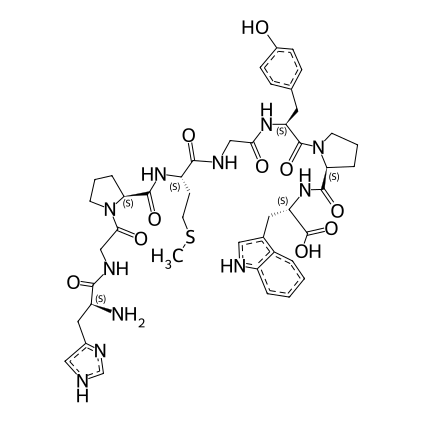 CSCC[C@H](NC(=O)[C@@H]1CCCN1C(=O)CNC(=O)[C@@H](N)Cc1c[nH]cn1)C(=O)NCC(=O)N[C@@H](Cc1ccc(O)cc1)C(=O)N1CCC[C@H]1C(=O)N[C@@H](Cc1c[nH]c2ccccc12)C(=O)O